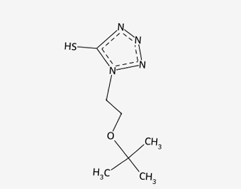 CC(C)(C)OCCn1nnnc1S